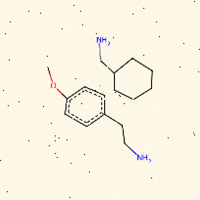 COc1ccc(CCN)cc1.NCC1CCCCC1